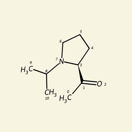 CC(=O)[C@@H]1CCCN1C(C)C